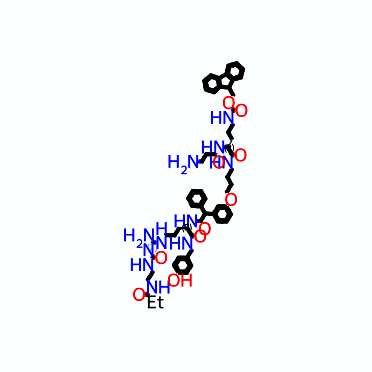 CCC(=O)NCCNC(=O)/N=C(/N)NCCC[C@@H](NC(=O)C(c1ccccc1)c1cccc(OCCCCNC(=O)[C@@H](CCCNC(=O)OCC2c3ccccc3-c3ccccc32)NC(=O)CCN)c1)C(=O)NCc1ccc(O)cc1